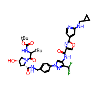 CC(C)(C)OC(=O)NC(C(=O)N1C[C@H](O)C[C@H]1C(=O)NCc1ccc(-n2cc(NC(=O)c3coc(-c4ccnc(NCC5CC5)c4)n3)c(C(F)F)n2)cc1)C(C)(C)C